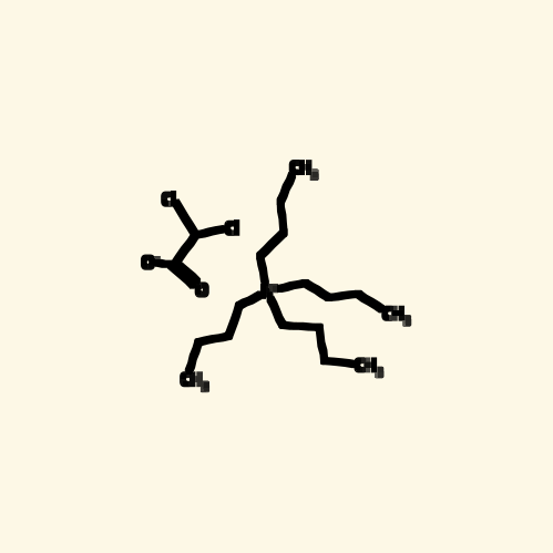 CCCC[N+](CCCC)(CCCC)CCCC.O=C([O-])C(Cl)Cl